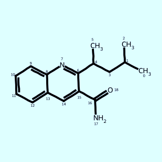 CC(C)CC(C)c1nc2ccccc2cc1C(N)=O